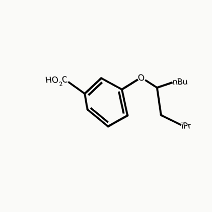 CCCCC(CC(C)C)Oc1cccc(C(=O)O)c1